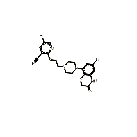 N#Cc1cc(Cl)cnc1SCCN1CCN(c2cc(Cl)cc3c2OCC(=O)N3)CC1